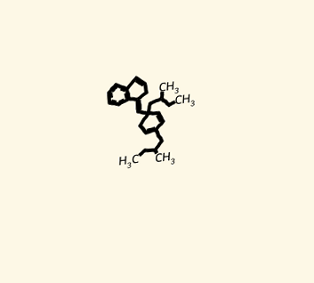 CCC(C)CC1=CCC(C=C2CC=Cc3ccccc32)(CC(C)CC)C=C1